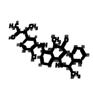 CC(=O)N(C)c1cc(Nc2cccc3c(NC(C)c4ncccn4)cc(=O)n(C)c23)c(Cl)cn1